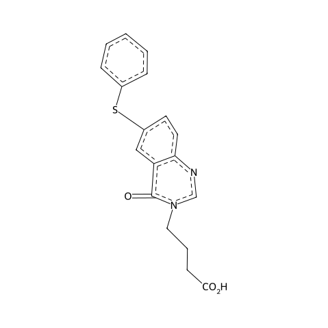 O=C(O)CCCn1cnc2ccc(Sc3ccccc3)cc2c1=O